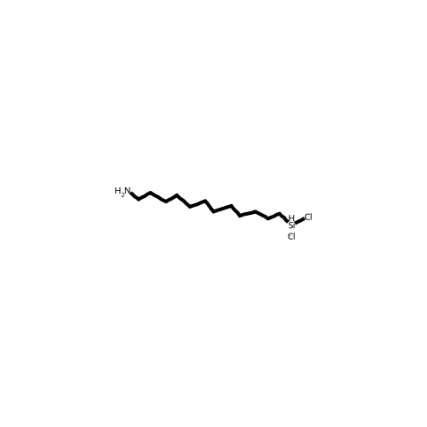 NCCCCCCCCCCCC[SiH](Cl)Cl